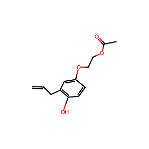 C=CCc1cc(OCCOC(C)=O)ccc1O